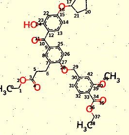 CCOC(=O)CCc1cc(C(=O)c2ccc(OC3CCCC3)cc2O)ccc1OCc1ccc(C(=O)OCC)c(OC)c1